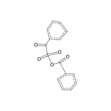 O=C(OS(=O)(=O)C(=O)c1ccccc1)c1ccccc1